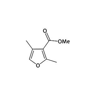 [CH2]OC(=O)c1c(C)coc1C